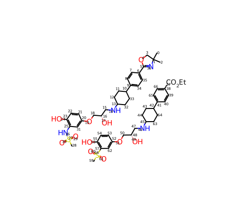 CC1(C)COC(c2ccc(C3CCC(NC[C@H](O)COc4ccc(O)c(NS(C)(=O)=O)c4)CC3)cc2)=N1.CCOC(=O)c1ccc(C2CCC(NC[C@H](O)COc3ccc(O)c(S(C)(=O)=O)c3)CC2)cc1